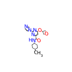 CC1CCC(NC(=O)c2cc(OC3COC3)nc(-n3ccnc3)n2)CC1